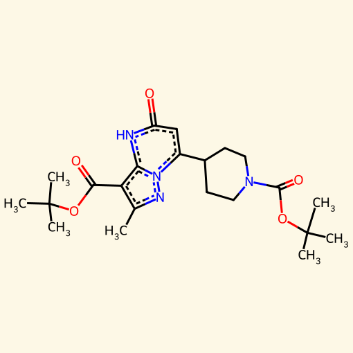 Cc1nn2c(C3CCN(C(=O)OC(C)(C)C)CC3)cc(=O)[nH]c2c1C(=O)OC(C)(C)C